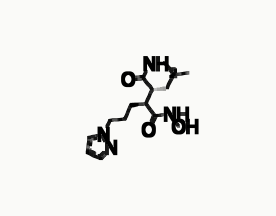 CC(C)C[C@@H](C(N)=O)[C@H](CCCn1cccn1)C(=O)NO